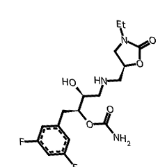 CCN1C[C@H](CNC[C@H](O)[C@H](Cc2cc(F)cc(F)c2)OC(N)=O)OC1=O